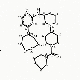 O=C(N1CCCCC1)N1CCC(N2CCCC(Nc3nccc(N4CCCCCC4)n3)C2)CC1